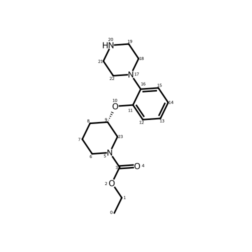 CCOC(=O)N1CCC[C@H](Oc2ccccc2N2CCNCC2)C1